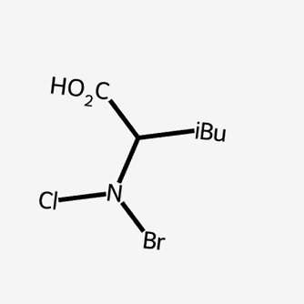 CCC(C)C(C(=O)O)N(Cl)Br